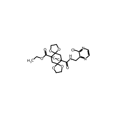 CCOC(=O)C12CCC(C(=O)NCc3nccnc3Cl)(CC13OCCO3)C1(C2)OCCO1